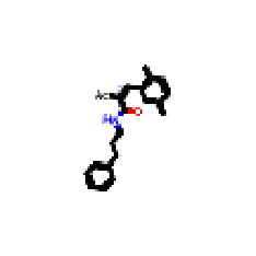 CC(=O)/C(=C/c1cc(C)ccc1C)C(=O)NCCCc1ccccc1